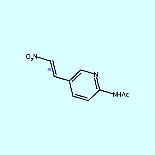 CC(=O)Nc1ccc(/C=C/[N+](=O)[O-])cn1